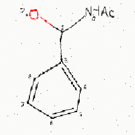 CC(=O)NC([O])c1ccccc1